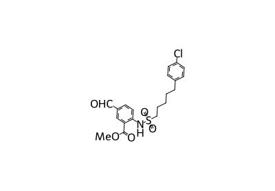 COC(=O)c1cc(C=O)ccc1NS(=O)(=O)CCCCCc1ccc(Cl)cc1